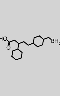 BCC1CCC(CCC(CC(=O)O)C2CCCCC2)CC1